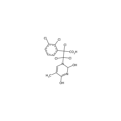 CC1=CN(C(Cl)(Cl)C(Cl)(C(=O)O)c2cccc(Cl)c2Cl)C(O)N=C1O